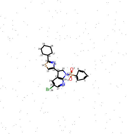 O=S(=O)(c1ccccc1)N1CC(c2csc(C3CCCCC3)n2)c2cc(Br)cnc21